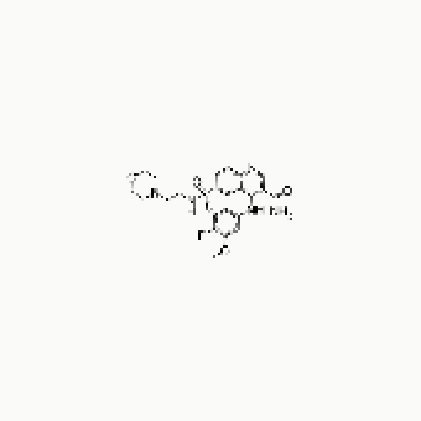 COc1cc(Nc2c(C(N)=O)cnc3ccc(S(=O)(=O)NCCN4CCOCC4)cc23)ccc1F